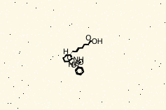 O=C(O)CCCC=CC[C@@H]1[C@@H](NS(=O)(=O)c2ccccc2)[C@@H]2CC[C@H]1O2